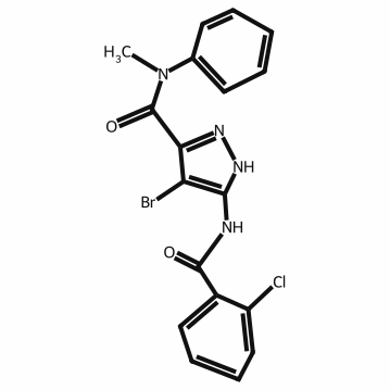 CN(C(=O)c1n[nH]c(NC(=O)c2ccccc2Cl)c1Br)c1ccccc1